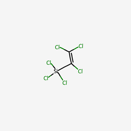 ClC(Cl)=C(Cl)[Si](Cl)(Cl)Cl